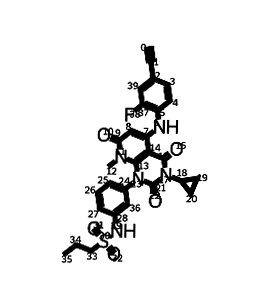 C#Cc1ccc(Nc2cc(=O)n(C)c3c2c(=O)n(C2CC2)c(=O)n3-c2cccc(NS(=O)(=O)CCC)c2)c(F)c1